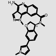 CN(C(=O)c1ccc2nc(N)c3cnn(C)c3c2c1)[C@@H]1COc2cc(-c3ccn(C)c3)ccc21